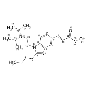 CCCCc1nc2cc(C=CC(=O)NO)ccc2n1CCN(C(C)C)C(C)C